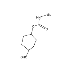 CC(C)(C)NC(=O)OC1CCC(C=O)CC1